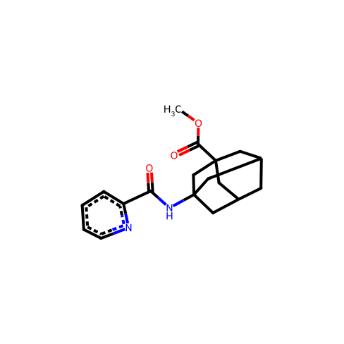 COC(=O)C12CC3CC(CC(NC(=O)c4ccccn4)(C3)C1)C2